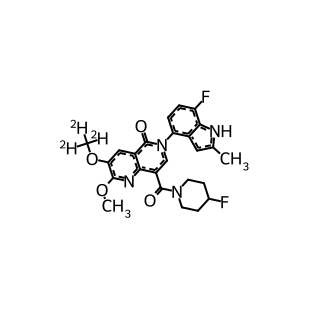 [2H]C([2H])([2H])Oc1cc2c(=O)n(-c3ccc(F)c4[nH]c(C)cc34)cc(C(=O)N3CCC(F)CC3)c2nc1OC